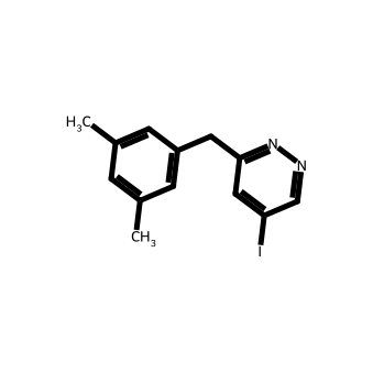 Cc1cc(C)cc(Cc2cc(I)cnn2)c1